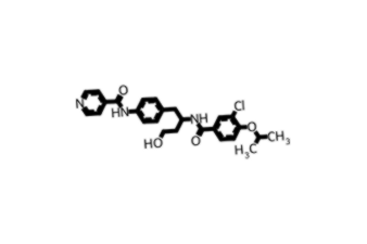 CC(C)Oc1ccc(C(=O)NC(CCO)Cc2ccc(NC(=O)c3ccncc3)cc2)cc1Cl